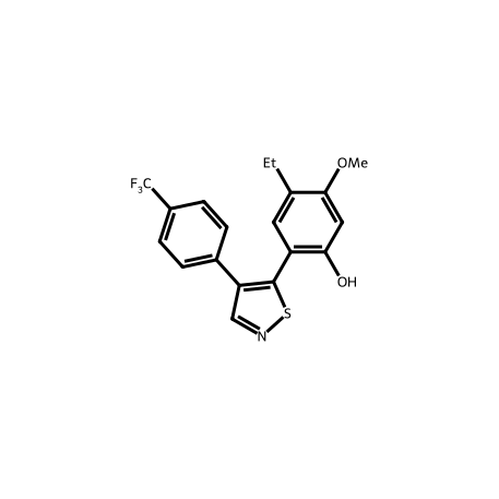 CCc1cc(-c2sncc2-c2ccc(C(F)(F)F)cc2)c(O)cc1OC